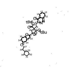 CC(C)(C)OC(=O)C(CCn1nnc2ccccc2c1=O)(CC(=O)c1cc2cc(OCCC3CCCC3)ccc2o1)C(=O)OC(C)(C)C